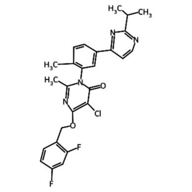 Cc1ccc(-c2ccnc(C(C)C)n2)cc1-n1c(C)nc(OCc2ccc(F)cc2F)c(Cl)c1=O